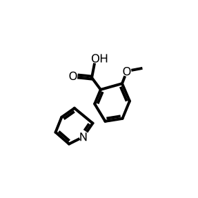 COc1ccccc1C(=O)O.c1ccncc1